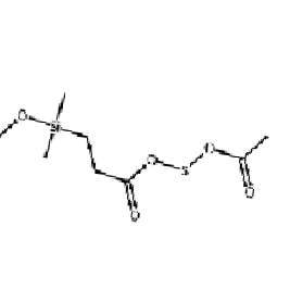 CO[Si](C)(C)CCC(=O)OSOC(C)=O